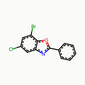 Clc1cc(Br)c2oc(-c3ccccc3)nc2c1